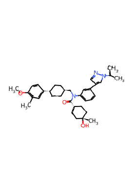 COc1ccc([C@H]2CC[C@H](CN(c3cccc(-c4cnn(C(C)C)c4)c3)C(=O)[C@H]3CC[C@@](C)(O)CC3)CC2)cc1C